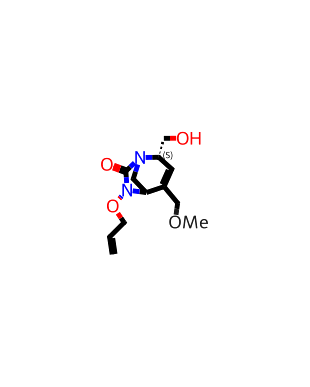 C=CCON1C(=O)N2CC1C(COC)=C[C@H]2CO